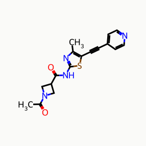 CC(=O)N1CC(C(=O)Nc2nc(C)c(C#Cc3ccncc3)s2)C1